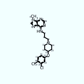 Cn1cnc2c(NCCCN3CCC(Oc4ccc(Cl)c(Cl)c4)CC3)ncnc21